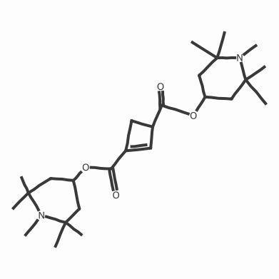 CN1C(C)(C)CC(OC(=O)C2=CC(C(=O)OC3CC(C)(C)N(C)C(C)(C)C3)C2)CC1(C)C